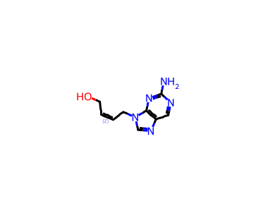 Nc1ncc2ncn(C/C=C\CO)c2n1